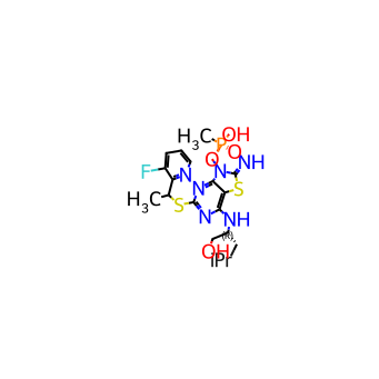 CC(C)C[C@H](CO)Nc1nc(SC(C)c2ncccc2F)nc2c1sc(=N)n2OP(C)(=O)O